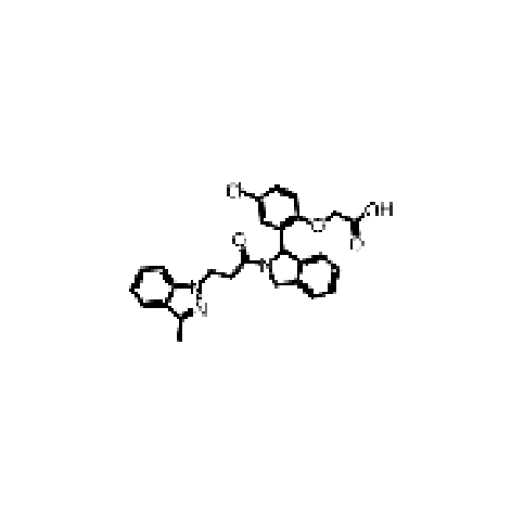 Cc1nn(CCC(=O)N2Cc3ccccc3C2c2cc(Cl)ccc2OCC(=O)O)c2ccccc12